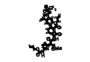 C=CCOC(=O)Nc1nc(C(=NOC)C(=O)NC2C(=O)N3C(C(=O)OCC=C)=C([n+]4ccc5c(c4)N(C)CN5OS(=O)(=O)C(F)(F)F)CCC23)cs1